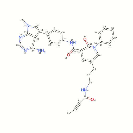 CC#CC(=O)NCCCc1cc(C(=O)Nc2ccc(-c3cn(C)c4ncnc(N)c34)cc2)c(=O)n(-c2ccccc2)c1